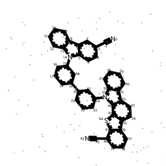 N#Cc1ccc2c(c1)c1ccccc1n2-c1cccc(-c2cccc(-n3c4ccccc4c4ccc5c6cccc(C#N)c6sc5c43)c2)c1